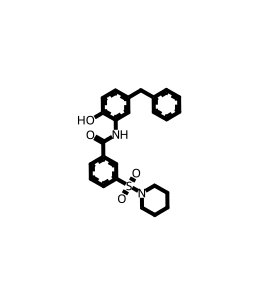 O=C(Nc1cc(Cc2ccccc2)ccc1O)c1cccc(S(=O)(=O)N2CCCCC2)c1